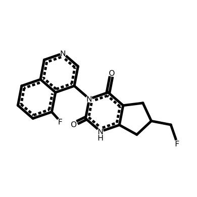 O=c1[nH]c2c(c(=O)n1-c1cncc3cccc(F)c13)CC(CF)C2